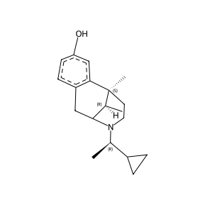 C[C@H](C1CC1)N1CC[C@]2(C)c3cc(O)ccc3CC1[C@@H]2C